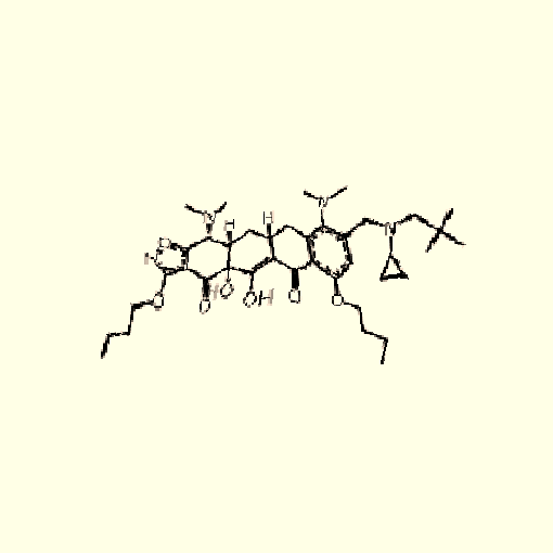 CCCCOc1cc(CN(CC(C)(C)C)C2CC2)c(N(C)C)c2c1C(=O)C1=C(O)[C@]3(O)C(=O)c4c(OCCCC)noc4[C@@H](N(C)C)[C@@H]3C[C@@H]1C2